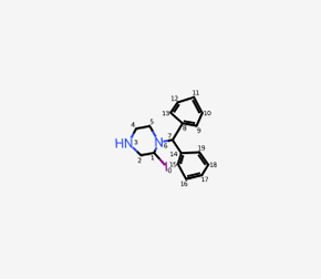 IC1CNCCN1C(c1ccccc1)c1ccccc1